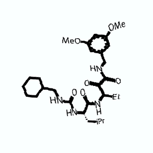 CCC(NC(=O)[C@H](CC(C)C)NC(=O)NCC1CCCCC1)C(=O)C(=O)NCc1cc(OC)cc(OC)c1